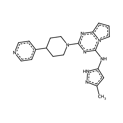 Cc1cc(Nc2nc(N3CCC(c4ccncc4)CC3)nc3cccn23)[nH]n1